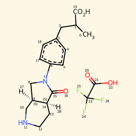 CC(Cc1ccc(N2C[C@@H]3CNCC[C@@H]3C2=O)cc1)C(=O)O.O=C(O)C(F)(F)F